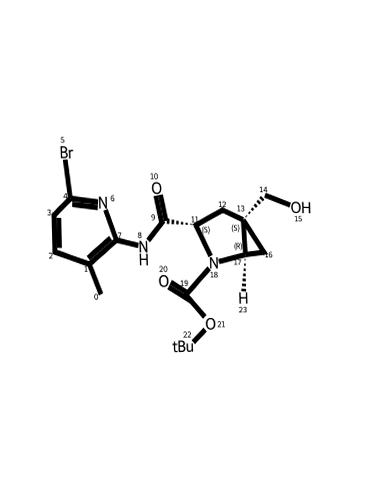 Cc1ccc(Br)nc1NC(=O)[C@@H]1C[C@@]2(CO)C[C@H]2N1C(=O)OC(C)(C)C